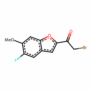 COc1cc2oc(C(=O)CBr)cc2cc1F